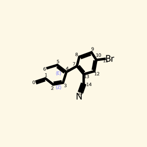 C=C/C=C\C(=C/C)c1ccc(Br)cc1C#N